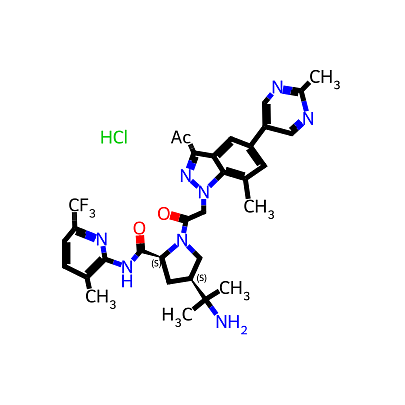 CC(=O)c1nn(CC(=O)N2C[C@@H](C(C)(C)N)C[C@H]2C(=O)Nc2nc(C(F)(F)F)ccc2C)c2c(C)cc(-c3cnc(C)nc3)cc12.Cl